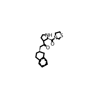 O=C(C[C@@H]1CCc2ccccc2C1)C1CCN[C@H]1C(=O)N1CCSC1